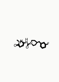 Cn1nc(NC(=O)N2CCC(Cc3cccc(F)c3)CC2)ccc1=O